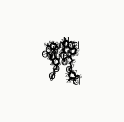 COCCOc1cc(N2CC(C)n3c(c(CCCOc4cc(C)c(Cl)c(C)c4)c4ccc(Cl)c(-c5c(C)ncnc5C)c43)C2=O)c2c(c1)cc(C(=O)O)n2Cc1cc(C)ccn1